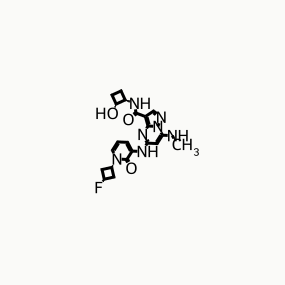 CNc1cc(Nc2cccn([C@H]3C[C@H](F)C3)c2=O)nc2c(C(=O)N[C@@H]3CC[C@H]3O)cnn12